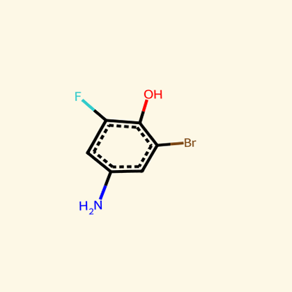 Nc1cc(F)c(O)c(Br)c1